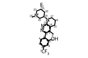 Cc1c(-c2ccc(C(F)(F)F)cc2O)nnc2c1CCCN2[C@@H]1C[C@@H](F)CN(C)C1